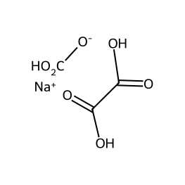 O=C(O)C(=O)O.O=C([O-])O.[Na+]